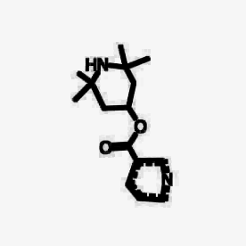 CC1(C)CC(OC(=O)c2cccnc2)CC(C)(C)N1